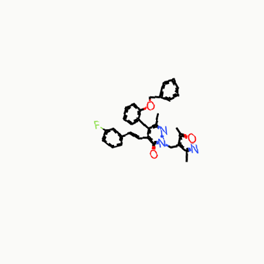 Cc1noc(C)c1Cn1nc(C)c(-c2ccccc2OCc2ccccc2)c(/C=C/c2cccc(F)c2)c1=O